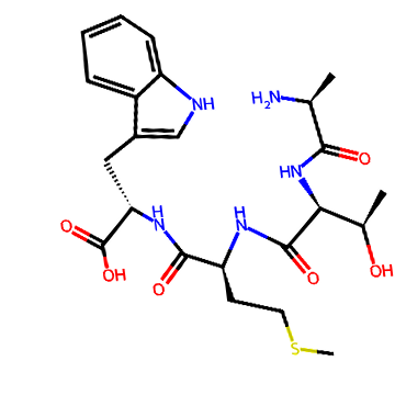 CSCC[C@H](NC(=O)[C@@H](NC(=O)[C@H](C)N)[C@@H](C)O)C(=O)N[C@@H](Cc1c[nH]c2ccccc12)C(=O)O